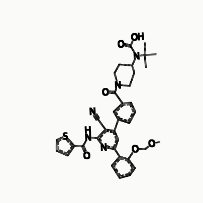 COCOc1ccccc1-c1cc(-c2cccc(C(=O)N3CCC(N(C(=O)O)C(C)(C)C)CC3)c2)c(C#N)c(NC(=O)c2cccs2)n1